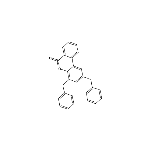 O=[PH]1Oc2c(Cc3ccccc3)cc(Cc3ccccc3)cc2-c2ccccc21